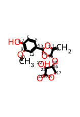 C=C1OC(c2ccc(O)c(OC)c2)OC1OC1COC(=O)C1O